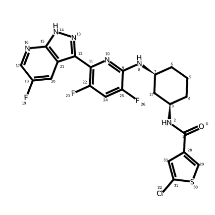 O=C(N[C@@H]1CCC[C@H](Nc2nc(-c3n[nH]c4ncc(F)cc34)c(F)cc2F)C1)c1csc(Cl)c1